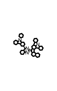 c1ccc(-n2c3ccccc3c3cc(-c4nc(-n5c6ccc7ccccc7c6c6c7c8ccccc8n8c9ccccc9c(cc65)c78)nc5ccccc45)ccc32)cc1